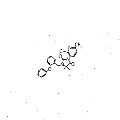 CC1(C)C(=O)N(c2ccc(C(F)(F)F)nc2Cl)C(=O)N1Cc1ccccc1Oc1ccccc1